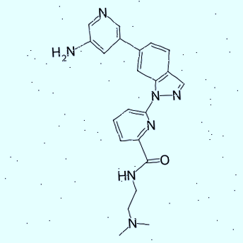 CN(C)CCNC(=O)c1cccc(-n2ncc3ccc(-c4cncc(N)c4)cc32)n1